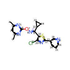 Cc1cc(C)nc(O/N=C(/c2sc(-c3cccnc3)nc2Cl)C2CC2)n1